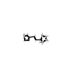 C(=Cc1nnn[nH]1)c1ccsc1